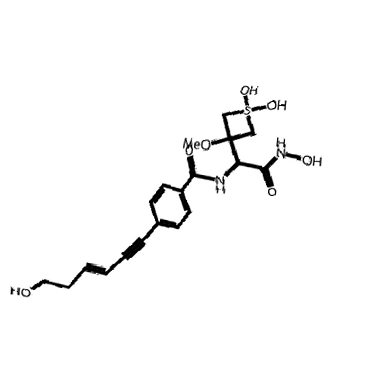 COC1(C(NC(=O)c2ccc(C#CC=CCCO)cc2)C(=O)NO)CS(O)(O)C1